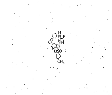 Cc1ccc(S(=O)(=O)n2cc(-c3ncc(F)c(N[C@H]4CCCC(=O)C4)n3)c3cc(Cl)cnc32)cc1